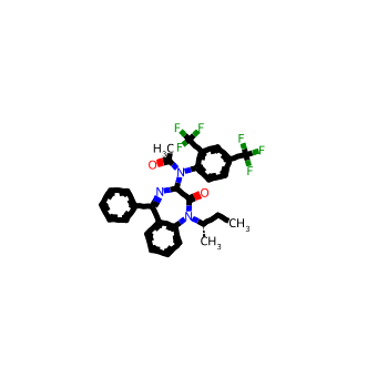 CC[C@H](C)N1C(=O)C(N(C(C)=O)c2ccc(C(F)(F)F)cc2C(F)(F)F)N=C(c2ccccc2)c2ccccc21